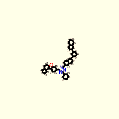 c1ccc(-c2nc(-c3ccc4cc(-c5cccc(-c6ccc7ccccc7c6)c5)ccc4c3)nc(-c3ccc4c(c3)oc3ccc5ccccc5c34)n2)cc1